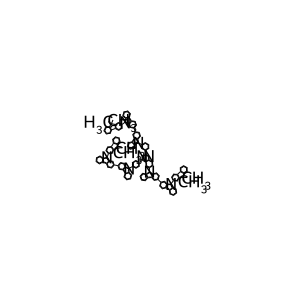 CC1(C)c2ccccc2-c2ccc(-n3c4ccccc4c4ccc(-c5ccc6c(c5)c5ccccc5n6-c5ccc(-c6nc(-c7cccc(-n8c9ccccc9c9cc(-c%10ccc%11c%12ccccc%12n(-c%12ccc%13c(c%12)C(C)(C)c%12ccccc%12-%13)c%11c%10)ccc98)c7)nc7ccc(-n8c9ccccc9c9cc(-c%10ccc%11c%12ccccc%12n(-c%12ccc%13c(c%12)C(C)(C)c%12ccccc%12-%13)c%11c%10)ccc98)cc67)cc5)cc43)cc21